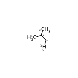 [2H][CH]C(C)C